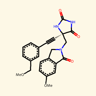 COCc1cccc(C#C[C@]2(CN3Cc4ccc(OC)cc4C3=O)NC(=O)NC2=O)c1